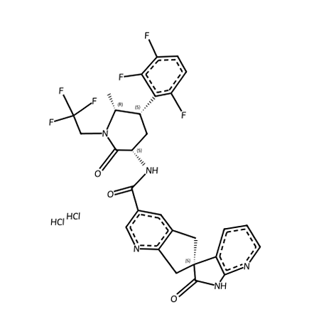 C[C@@H]1[C@H](c2c(F)ccc(F)c2F)C[C@H](NC(=O)c2cnc3c(c2)C[C@@]2(C3)C(=O)Nc3ncccc32)C(=O)N1CC(F)(F)F.Cl.Cl